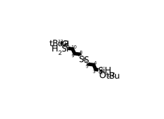 CC(C)(C)O[SiH2]CCCSSCCC[SiH2]OC(C)(C)C